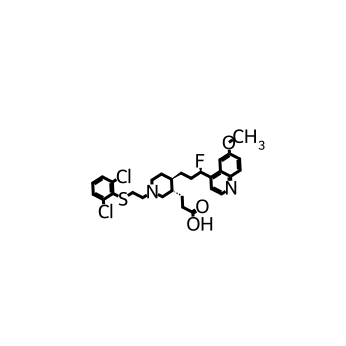 COc1ccc2nccc([C@H](F)CC[C@@H]3CCN(CCSc4c(Cl)cccc4Cl)C[C@H]3CCC(=O)O)c2c1